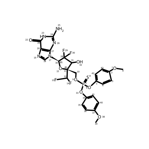 COc1ccc(OP(=S)(OC[C@@]2(C(F)F)O[C@@H](n3cnc4c(=O)[nH]c(N)nc43)C(F)(F)C2O)Oc2ccc(OC)cc2)cc1